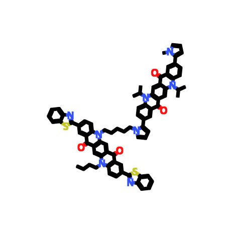 CCCCn1c2ccc(-c3nc4ccccc4s3)cc2c(=O)c2cc3c(cc21)c(=O)c1cc(-c2nc4ccccc4s2)ccc1n3CCCCCn1cccc1-c1ccc2c(c1)c(=O)c1cc3c(cc1n2C(C)C)c(=O)c1cc(-c2cccn2C)ccc1n3C(C)C